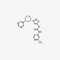 O=C([N-]c1c[n+]([C@H]2CCC[C@H](c3cncnc3)C2)no1)Nc1ccnc(C(F)(F)F)c1